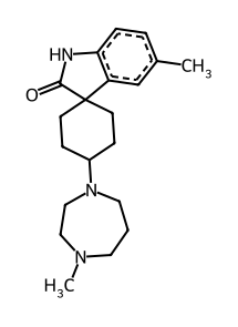 Cc1ccc2c(c1)C1(CCC(N3CCCN(C)CC3)CC1)C(=O)N2